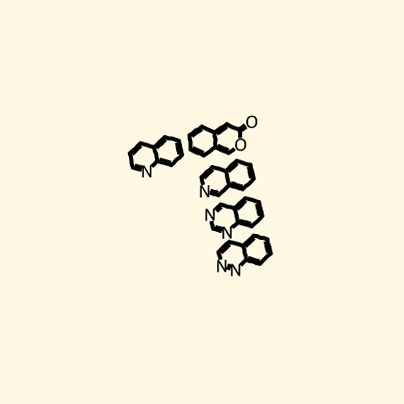 O=c1cc2ccccc2co1.c1ccc2cnccc2c1.c1ccc2ncccc2c1.c1ccc2ncncc2c1.c1ccc2nnccc2c1